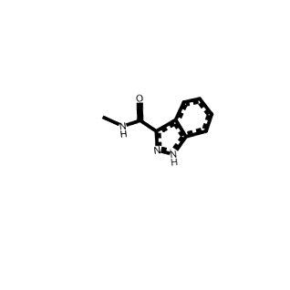 CNC(=O)c1n[nH]c2ccccc12